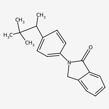 CC(c1ccc(N2Cc3ccccc3C2=O)cc1)C(C)(C)C